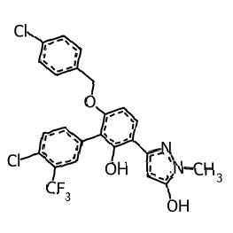 Cn1nc(-c2ccc(OCc3ccc(Cl)cc3)c(-c3ccc(Cl)c(C(F)(F)F)c3)c2O)cc1O